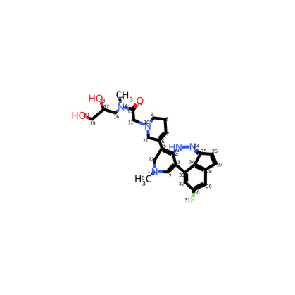 CN1C=C2C(=C(C3=CCCN(CC(=O)N(C)CC(O)CO)C3)C1)NN=C1C=Cc3cc(F)cc2c31